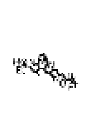 CCC(O)c1cc(C)c(-c2cc3cnc(NC(=O)[C@H]4CC4(F)F)cc3nc2-n2cccn2)cn1